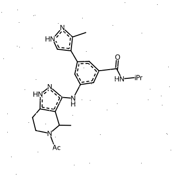 CC(=O)N1CCc2[nH]nc(Nc3cc(C(=O)NC(C)C)cc(-c4c[nH]nc4C)c3)c2C1C